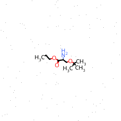 CCCOC(=O)[C@@H](N)COC(C)(C)C